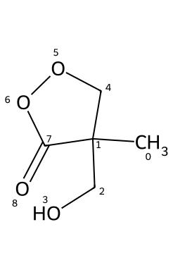 CC1(CO)COOC1=O